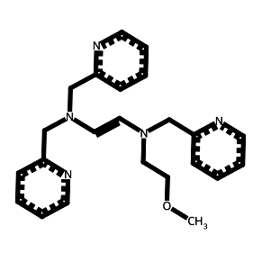 COCCN(C=CN(Cc1ccccn1)Cc1ccccn1)Cc1ccccn1